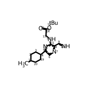 CC1CCC(c2cnc(C=N)c(NCC(=O)OC(C)(C)C)n2)CC1